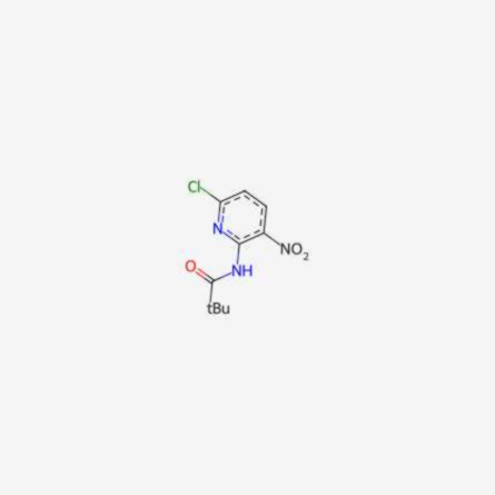 CC(C)(C)C(=O)Nc1nc(Cl)ccc1[N+](=O)[O-]